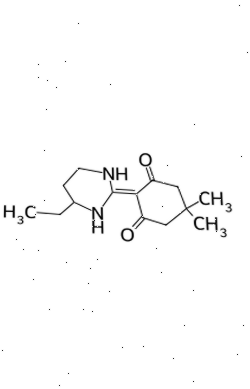 CCC1CCNC(=C2C(=O)CC(C)(C)CC2=O)N1